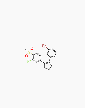 CS(=O)(=O)c1ccc(C2=C(c3cccc(Br)c3)CCC2)cc1F